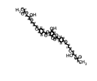 C=CC(=O)OCC(O)COCCCCOc1ccc(C(=O)Oc2cc(O)c(OC(=O)c3ccc(OCCCCOCC(O)COC(=O)C=C)cc3)cc2O)cc1